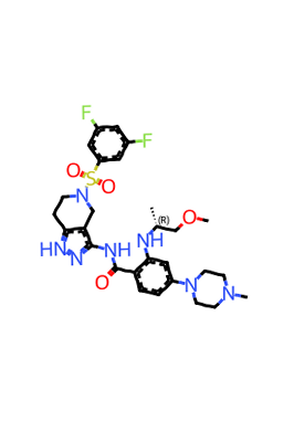 COC[C@@H](C)Nc1cc(N2CCN(C)CC2)ccc1C(=O)Nc1n[nH]c2c1CN(S(=O)(=O)c1cc(F)cc(F)c1)CC2